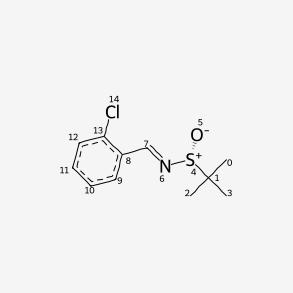 CC(C)(C)[S@@+]([O-])/N=C/c1ccccc1Cl